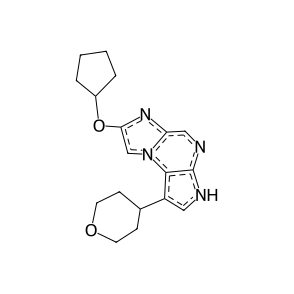 c1[nH]c2ncc3nc(OC4CCCC4)cn3c2c1C1CCOCC1